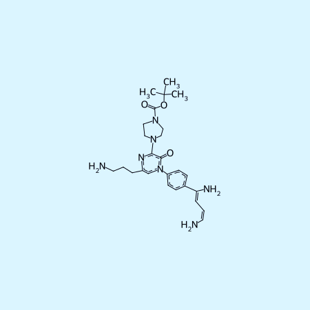 CC(C)(C)OC(=O)N1CCN(c2nc(CCCN)cn(-c3ccc(/C(N)=C/C=C\N)cc3)c2=O)CC1